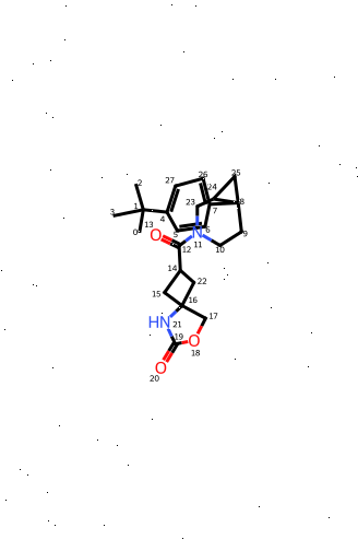 CC(C)(C)c1ccc(C23CCN(C(=O)C4CC5(COC(=O)N5)C4)CC2C3)cc1